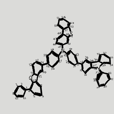 c1ccc(-c2cccc3c2oc2ccc(-c4ccc(N(c5ccc(-c6ccc7c(c6)c6ccccc6n7-c6ccccc6)cc5)c5ccc6c(c5)sc5ccccc56)cc4)cc23)cc1